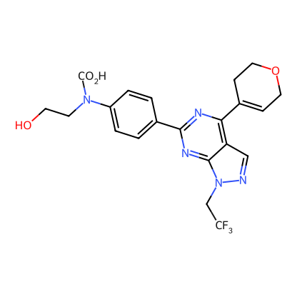 O=C(O)N(CCO)c1ccc(-c2nc(C3=CCOCC3)c3cnn(CC(F)(F)F)c3n2)cc1